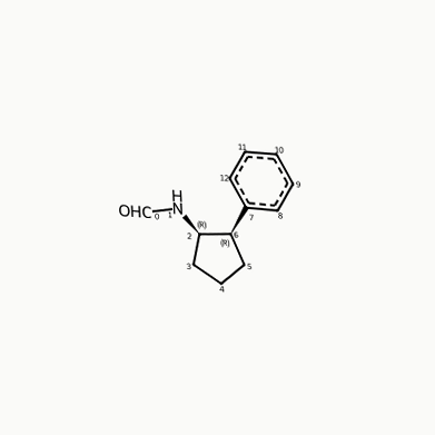 O=CN[C@@H]1CCC[C@@H]1c1ccccc1